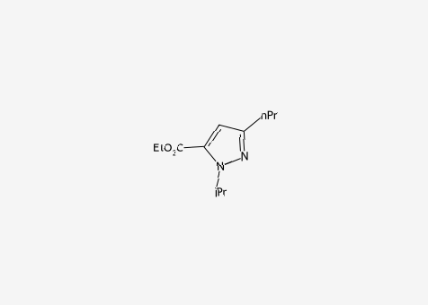 CCCc1cc(C(=O)OCC)n(C(C)C)n1